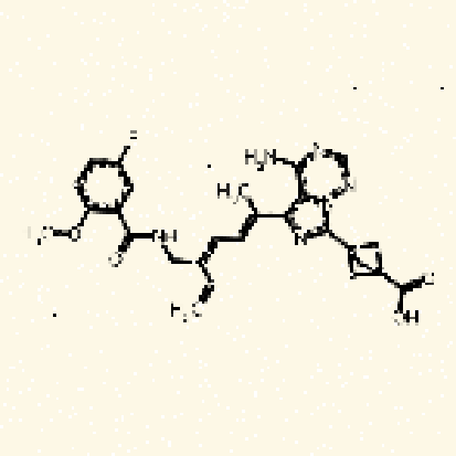 C=C/C(=C\C=C(/C)c1nc(C23CC(C(=O)O)(C2)C3)n2ncnc(N)c12)CNC(=O)c1cc(F)ccc1OC